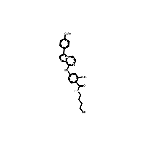 COc1ccc(-c2cnc3c(Nc4ccc(C(=O)NCCCCN)c(C)c4)nccn23)cc1